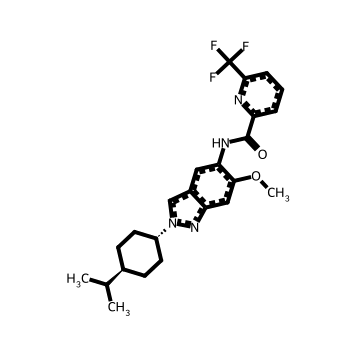 COc1cc2nn([C@H]3CC[C@H](C(C)C)CC3)cc2cc1NC(=O)c1cccc(C(F)(F)F)n1